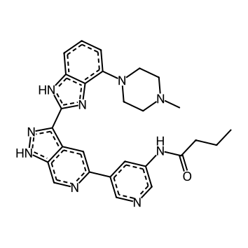 CCCC(=O)Nc1cncc(-c2cc3c(-c4nc5c(N6CCN(C)CC6)cccc5[nH]4)n[nH]c3cn2)c1